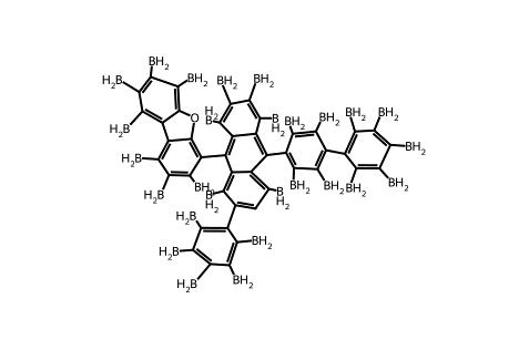 Bc1c(B)c(B)c(-c2cc(B)c3c(-c4c(B)c(B)c(-c5c(B)c(B)c(B)c(B)c5B)c(B)c4B)c4c(B)c(B)c(B)c(B)c4c(-c4c(B)c(B)c(B)c5c4oc4c(B)c(B)c(B)c(B)c45)c3c2B)c(B)c1B